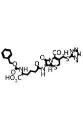 Cn1nnnc1SCC1=C(C(=O)O)N2C(=O)[C@@H](NC(=O)CCCC(NC(=O)OCc3ccccc3)C(=O)O)[C@@H]2SC1